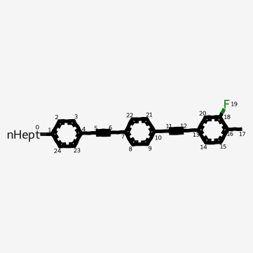 CCCCCCCc1ccc(C#Cc2ccc(C#Cc3ccc(C)c(F)c3)cc2)cc1